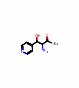 CCCCC(=O)C(N)C(O)c1ccncc1